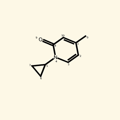 Cc1ccn(C2CC2)c(=O)c1